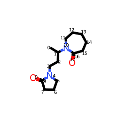 CC(CCN1CCCC1=O)N1CCCCCC1=O